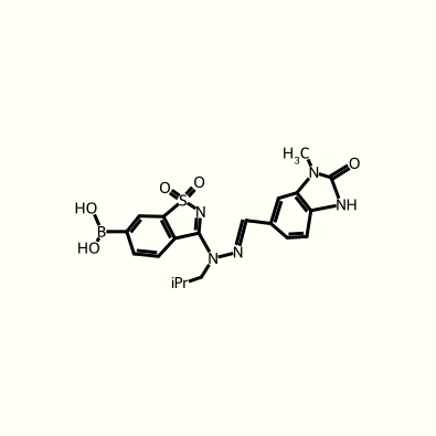 CC(C)CN(/N=C/c1ccc2[nH]c(=O)n(C)c2c1)C1=NS(=O)(=O)c2cc(B(O)O)ccc21